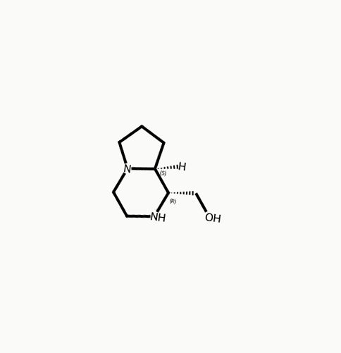 OC[C@@H]1NCCN2CCC[C@@H]12